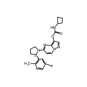 Cc1ncc(F)cc1[C@H]1CCCN1c1ccn2ncc(OC(=O)NC3CCC3)c2n1